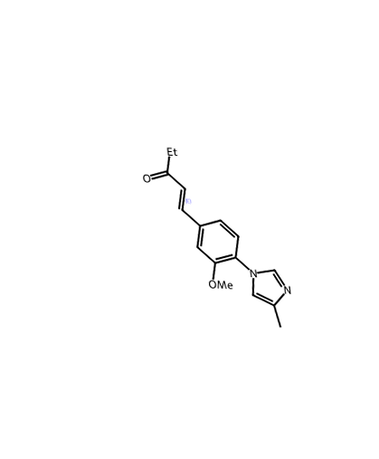 CCC(=O)/C=C/c1ccc(-n2cnc(C)c2)c(OC)c1